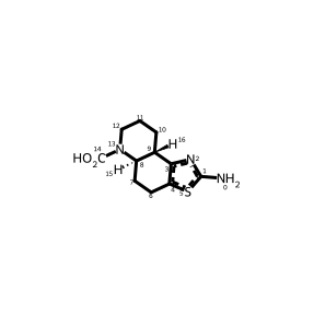 Nc1nc2c(s1)CC[C@@H]1[C@@H]2CCCN1C(=O)O